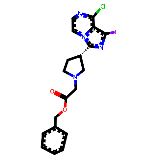 O=C(CN1CC[C@H](c2nc(I)c3c(Cl)nccn23)C1)OCc1ccccc1